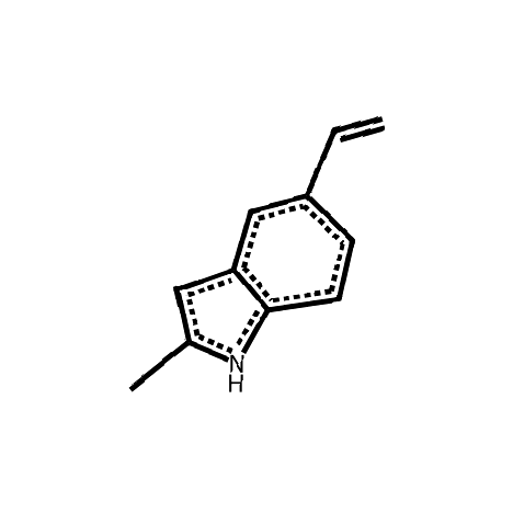 C=Cc1ccc2[nH]c(C)cc2c1